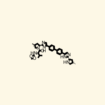 CC(C)[C@H](NC1OCO1)C(=O)N1C[C@@H](C)C[C@H]1c1ncc(-c2ccc(-c3ccc(-c4cnc([C@@H]5C[C@H](C)CN5)[nH]4)cc3)cc2)[nH]1